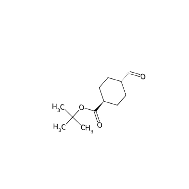 CC(C)(C)OC(=O)[C@H]1CC[C@H](C=O)CC1